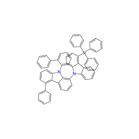 c1ccc(-c2ccccc2-n2c3cccc(-c4ccccc4)c3c3cccc(-n4c5ccccc5c5c([Si](c6ccccc6)(c6ccccc6)c6ccccc6)cccc54)c32)cc1